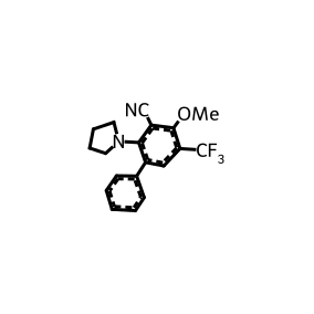 COc1c(C(F)(F)F)cc(-c2ccccc2)c(N2CCCC2)c1C#N